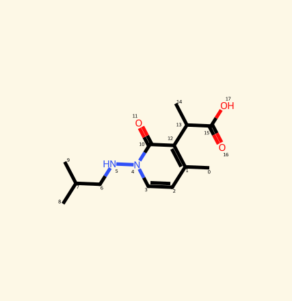 Cc1ccn(NCC(C)C)c(=O)c1C(C)C(=O)O